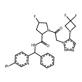 CC(C)c1ccc(C(NC(=O)C2CC(F)CN2C(=O)Cn2nncc2N2CC(F)(F)C2)c2ccccc2)nc1